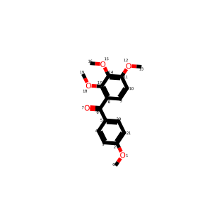 COc1ccc(C(=O)c2ccc(OC)c(OC)c2OC)cc1